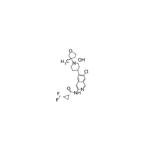 C[C@@]1(N2CCC(c3cc4cc(NC(=O)[C@@H]5C[C@@H]5C(F)F)ncc4cc3Cl)CC2)COC[C@@H]1O